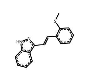 CSc1ccccc1/C=C/c1n[nH]c2ccccc12